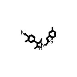 Cc1ccc2sc(Cn3nc(C)c(-c4ccc(C#N)c(C)c4)c3C)cc2c1